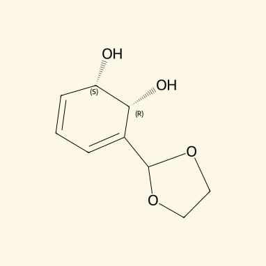 O[C@@H]1C(C2OCCO2)=CC=C[C@@H]1O